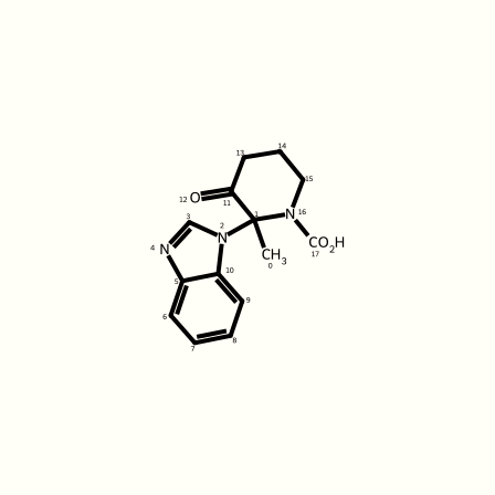 CC1(n2cnc3ccccc32)C(=O)CCCN1C(=O)O